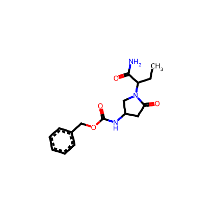 CCC(C(N)=O)N1CC(NC(=O)OCc2ccccc2)CC1=O